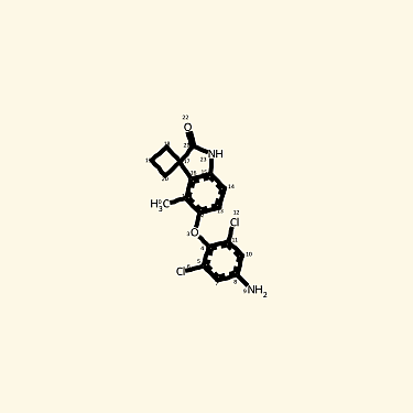 Cc1c(Oc2c(Cl)cc(N)cc2Cl)ccc2c1C1(CCC1)C(=O)N2